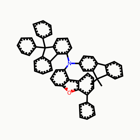 CC1(C)c2ccccc2-c2ccc(N(c3cccc4c3-c3ccccc3C4(c3ccccc3)c3ccccc3)c3cccc4oc5c(-c6ccccc6)cccc5c34)cc21